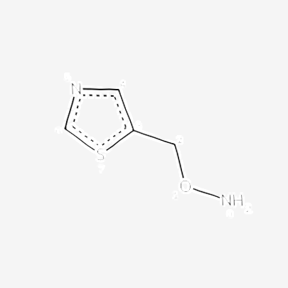 NOCc1cncs1